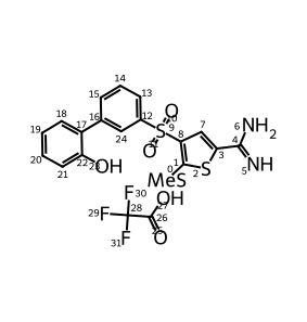 CSc1sc(C(=N)N)cc1S(=O)(=O)c1cccc(-c2ccccc2O)c1.O=C(O)C(F)(F)F